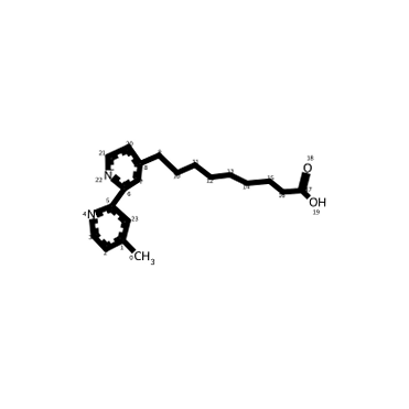 Cc1ccnc(-c2cc(CCCCCCCCC(=O)O)ccn2)c1